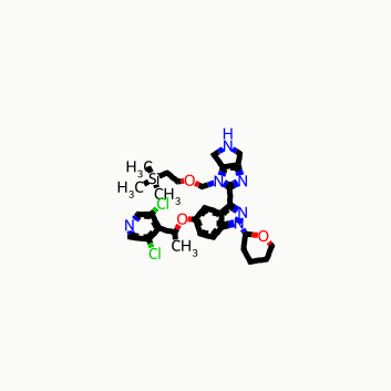 CC(Oc1ccc2c(c1)c(-c1nc3c(n1COCC[Si](C)(C)C)CNC3)nn2C1CCCCO1)c1c(Cl)cncc1Cl